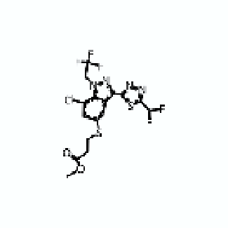 COC(=O)CCSc1cc(Cl)c2c(c1)c(-c1nnc(C(F)F)s1)nn2CC(F)(F)F